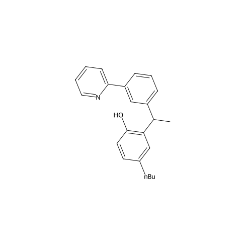 CCCCc1ccc(O)c(C(C)c2cccc(-c3ccccn3)c2)c1